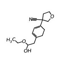 CCOC(O)CC1=CC=C(C2(C#N)CCOC2)CC1